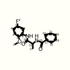 COc1ccc(F)cc1NC(=O)C(C)NC(=O)c1ccccc1